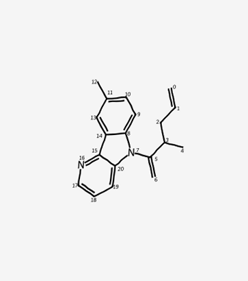 C=CCC(C)C(=C)n1c2ccc(C)cc2c2ncccc21